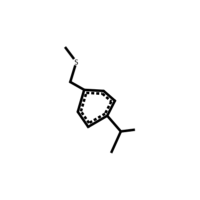 CSCc1ccc(C(C)C)cc1